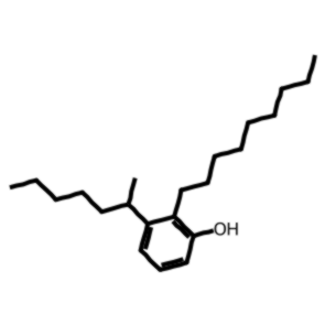 CCCCCCCCCc1c(O)cccc1C(C)CCCCC